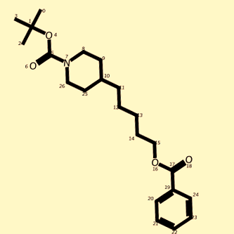 CC(C)(C)OC(=O)N1CCC(CCCCCOC(=O)c2ccccc2)CC1